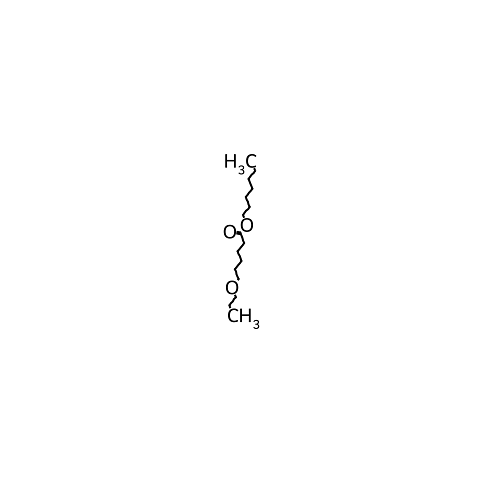 CCCCCCCOC(=O)CCCCCOCCC